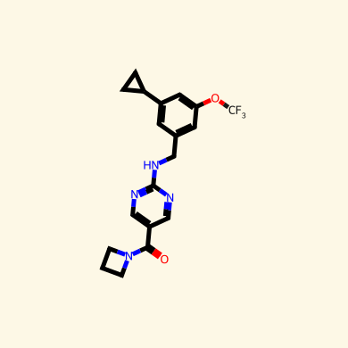 O=C(c1cnc(NCc2cc(OC(F)(F)F)cc(C3CC3)c2)nc1)N1CCC1